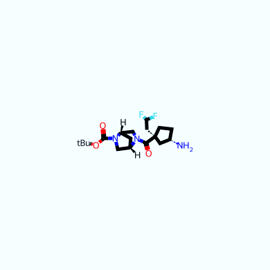 CC(C)(C)OC(=O)N1C[C@@H]2C[C@H]1CN2C(=O)[C@@]1(CC(F)F)CC[C@H](N)C1